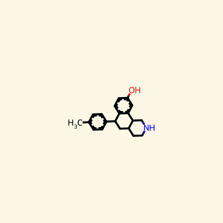 Cc1ccc(C2CC3CCNCC3c3cc(O)ccc32)cc1